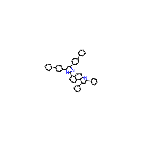 c1ccc(-c2ccc(-c3cc(-c4ccc(-c5ccccc5)cc4)nc(-c4cccc5c4ccc4nc(-c6ccccc6)cc(-c6ccccc6)c45)n3)cc2)cc1